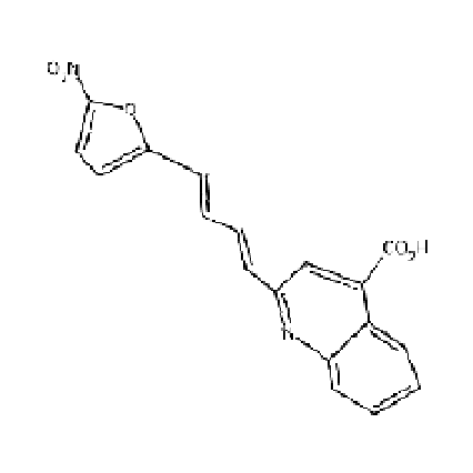 O=C(O)c1cc(C=CC=Cc2ccc([N+](=O)[O-])o2)nc2ccccc12